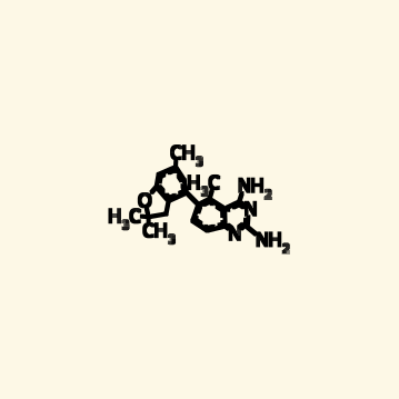 Cc1cc2c(c(-c3ccc4nc(N)nc(N)c4c3C)c1)CC(C)(C)O2